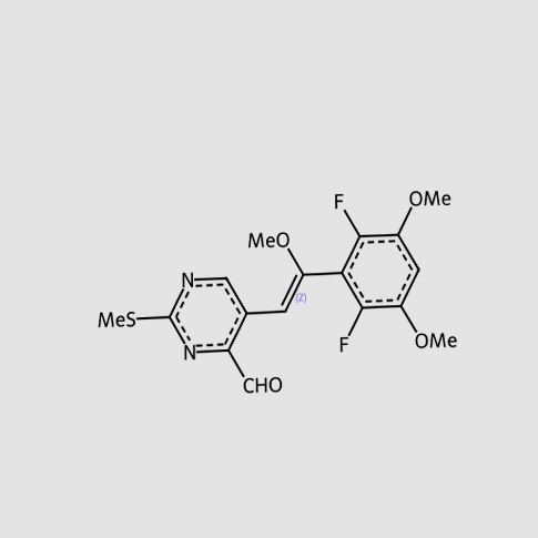 CO/C(=C\c1cnc(SC)nc1C=O)c1c(F)c(OC)cc(OC)c1F